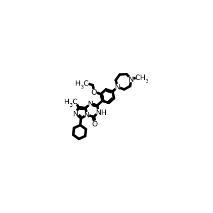 CCOc1cc(N2CCCN(C)CC2)ccc1-c1nc2c(C)nc(C3CCCCC3)n2c(=O)[nH]1